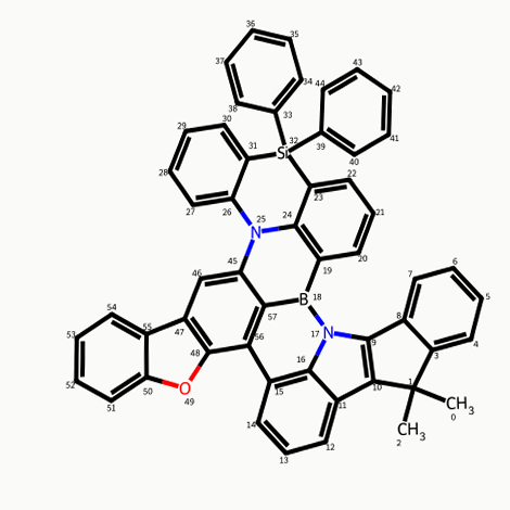 CC1(C)c2ccccc2-c2c1c1cccc3c1n2B1c2cccc4c2N(c2ccccc2[Si]4(c2ccccc2)c2ccccc2)c2cc4c(oc5ccccc54)c-3c21